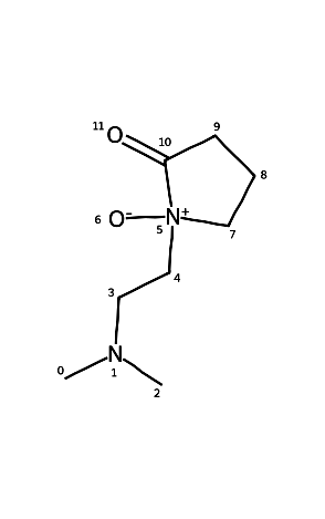 CN(C)CC[N+]1([O-])CCCC1=O